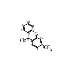 FC(F)(F)c1ccc(C(Cl)c2ccccc2)c(Cl)c1